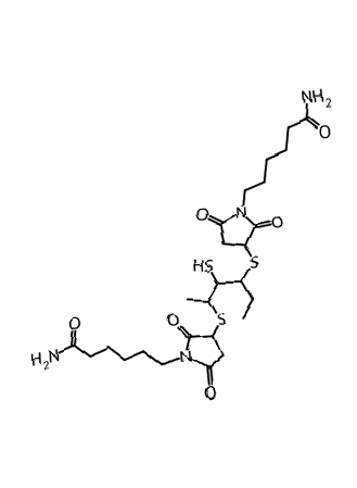 CCC(SC1CC(=O)N(CCCCCC(N)=O)C1=O)C(S)C(C)SC1CC(=O)N(CCCCCC(N)=O)C1=O